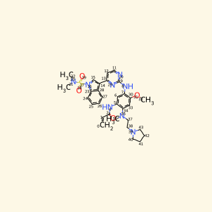 C=CC(=O)Nc1cc(Nc2nccc(-c3cn(S(=O)(=O)N(C)C)c4ccccc34)n2)c(OC)cc1N(C)CCN1CCCC1